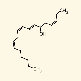 CC/C=C\CC(O)/C=C/C=C\C/C=C\CCCCC